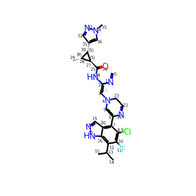 C=N/C(=C\N1C=C(c2c(Cl)c(F)c(C(C)C)c3[nH]ncc23)N=CC1)NC(=O)[C@H]1[C@H](C)[C@@H]1c1cnn(C)c1